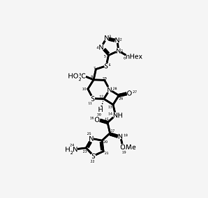 CCCCCCn1nnnc1SCC1(C(=O)O)CS[C@@H]2C(NC(=O)C(=NOC)c3csc(N)n3)C(=O)N2C1